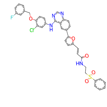 O=C(C=Cc1ccc(-c2ccc3ncnc(Nc4ccc(OCc5cccc(F)c5)c(Cl)c4)c3c2)o1)NCCS(=O)(=O)c1ccccc1